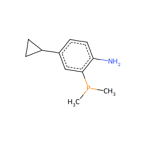 CP(C)c1cc(C2CC2)ccc1N